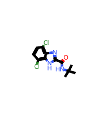 CC(C)(C)NC(=O)c1nc2c(Cl)ccc(Cl)c2[nH]1